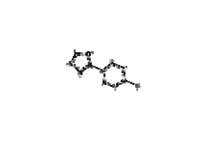 CCc1ccc(-c2nnco2)cc1